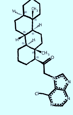 C[C@]12CCCC[C@@H]1CC[C@@H]1[C@@H]2CC[C@]2(C)[C@@H](C(=O)Cn3cnc4ncnc(Cl)c43)CCC[C@@H]12